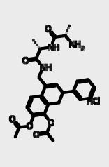 CC(=O)Oc1ccc2c(c1OC(C)=O)CC(c1ccccc1)C=C2CNC(=O)[C@H](C)NC(=O)[C@H](C)N.Cl